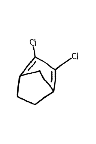 ClC1=C2CCC(=C1Cl)C2